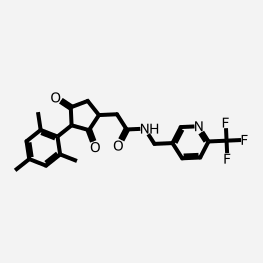 Cc1cc(C)c(C2C(=O)CC(CC(=O)NCc3ccc(C(F)(F)F)nc3)C2=O)c(C)c1